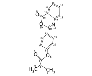 CC(C)C(=O)Oc1ccc(-c2nc3ccccc3c(=O)o2)cc1